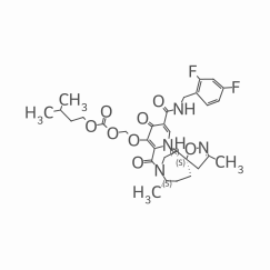 CC1=NO[C@@]2(CC[C@H](C)N3C[C@H]2n2cc(C(=O)NCc4ccc(F)cc4F)c(=O)c(OCOC(=O)OCCC(C)C)c2C3=O)C1